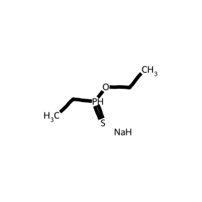 CCO[PH](=S)CC.[NaH]